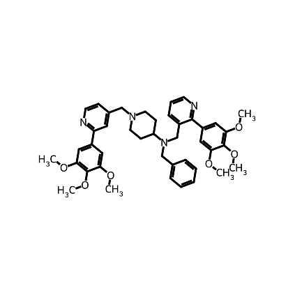 COc1cc(-c2cc(CN3CCC(N(Cc4ccccc4)Cc4cccnc4-c4cc(OC)c(OC)c(OC)c4)CC3)ccn2)cc(OC)c1OC